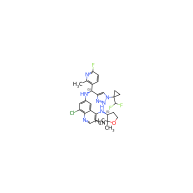 Cc1nc(F)ccc1[C@H](Nc1cc(Cl)c2ncc(C#N)c(N[C@H]3CCOC3(C)C)c2c1)c1cn(C2(C(F)F)CC2)nn1